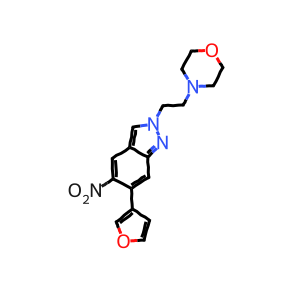 O=[N+]([O-])c1cc2cn(CCN3CCOCC3)nc2cc1-c1ccoc1